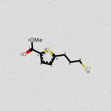 COC(=O)c1ccc(CCCS)s1